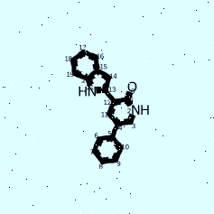 O=c1[nH]cc(-c2ccccc2)cc1-c1cc2ccccc2[nH]1